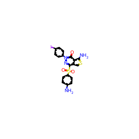 Nc1ccc(S(=O)(=O)c2nn(-c3ccc(I)cc3)c(=O)c3c(N)scc23)cc1